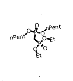 CCCCCOP(=O)(CP(=O)(OCC)OCC)OCCCCC